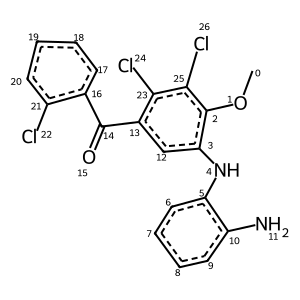 COc1c(Nc2ccccc2N)cc(C(=O)c2ccccc2Cl)c(Cl)c1Cl